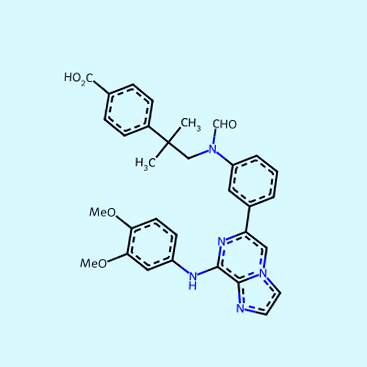 COc1ccc(Nc2nc(-c3cccc(N(C=O)CC(C)(C)c4ccc(C(=O)O)cc4)c3)cn3ccnc23)cc1OC